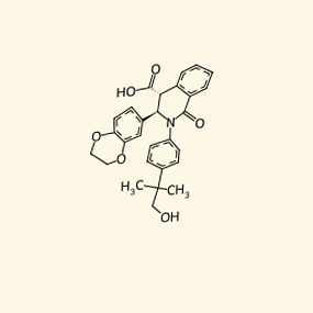 CC(C)(CO)c1ccc(N2C(=O)c3ccccc3[C@@H](C(=O)O)[C@@H]2c2ccc3c(c2)OCCO3)cc1